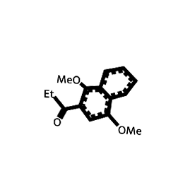 CCC(=O)c1cc(OC)c2ccccc2c1OC